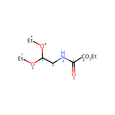 CCOC(=O)C(=O)NCC(OCC)OCC